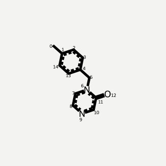 Cc1ccc(Cn2ccncc2=O)cc1